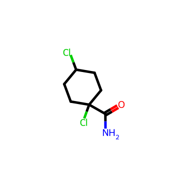 NC(=O)C1(Cl)CCC(Cl)CC1